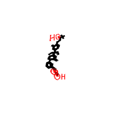 CCC(CC)(c1ccc(CCC(O)C(C)(C)C)c(C)c1)c1ccc(-c2cccc(COCO)c2)c(C)c1